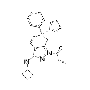 C=CC(=O)n1nc(NC2CCC2)c2c1CC(c1ccccc1)(c1ccsc1)C=C2